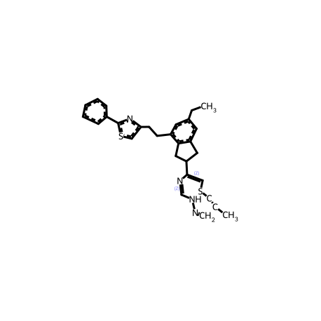 C=NN/C=N\C(=C/SCCC)C1Cc2cc(CC)cc(CCc3csc(-c4ccccc4)n3)c2C1